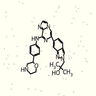 CC(C)(O)Cn1cc2ccc(-c3cn4ccnc4c(Nc4ccc(C5CNCCO5)cc4)n3)cc2n1